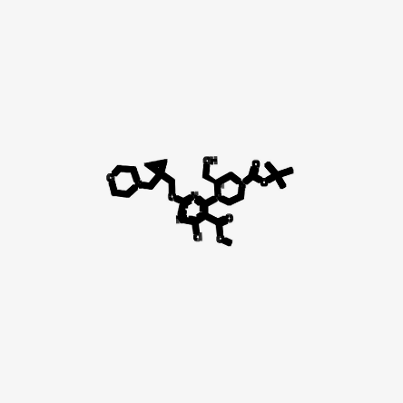 COC(=O)c1c(Cl)nc(OCC2(CN3CCOCC3)CC2)nc1N1CCN(C(=O)OC(C)(C)C)C[C@@H]1CO